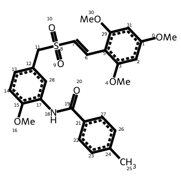 COc1cc(OC)c(/C=C/S(=O)(=O)Cc2ccc(OC)c(NC(=O)c3ccc(C)cc3)c2)c(OC)c1